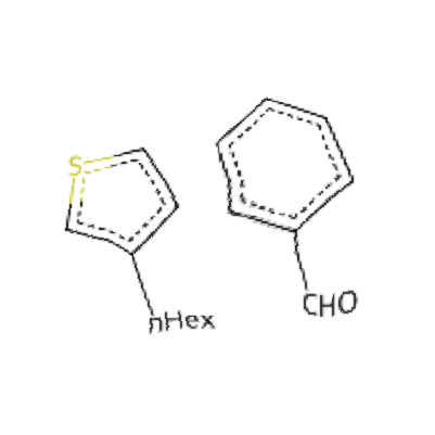 CCCCCCc1ccsc1.O=Cc1ccccc1